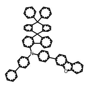 c1ccc(-c2ccc(N(c3ccc(-c4ccc5c(c4)oc4ccccc45)cc3)c3cccc4c3-c3ccccc3C43c4ccccc4C(c4ccccc4)(c4ccccc4)c4ccccc43)cc2)cc1